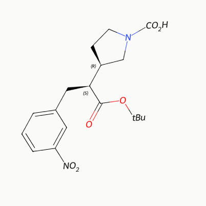 CC(C)(C)OC(=O)[C@@H](Cc1cccc([N+](=O)[O-])c1)[C@H]1CCN(C(=O)O)C1